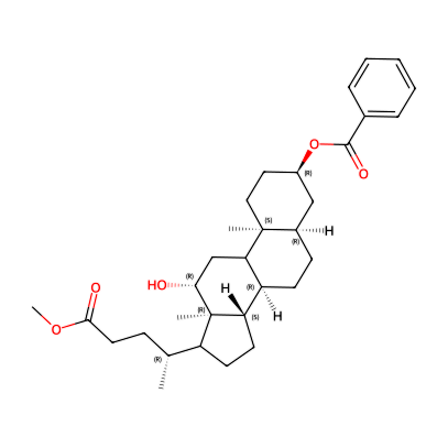 COC(=O)CC[C@@H](C)C1CC[C@H]2[C@@H]3CC[C@@H]4C[C@H](OC(=O)c5ccccc5)CC[C@]4(C)C3C[C@@H](O)[C@]12C